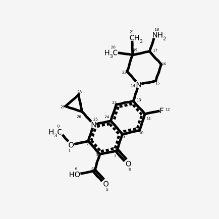 COc1c(C(=O)O)c(=O)c2cc(F)c(N3CCC(N)C(C)(C)C3)cc2n1C1CC1